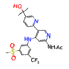 CC(=O)Nc1cc(Nc2cc(C(F)(F)F)cc(S(C)(=O)=O)c2)c(-c2ccc(C(C)(C)O)cn2)cn1